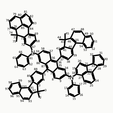 CC1(C)c2cc(-c3c4ccc(N(c5ccccc5)c5ccc6c7c(cccc57)-c5ccccc5-6)cc4c(-c4ccc5c(c4)C(C)(C)c4ccc6ccccc6c4-5)c4ccc(N(c5ccccc5)c5ccc6c(c5)C(C)(C)c5cccc7cccc-6c57)cc34)ccc2-c2c1ccc1ccccc21